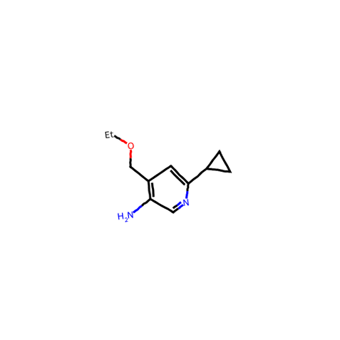 CCOCc1cc(C2CC2)ncc1N